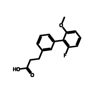 COc1cccc(F)c1-c1cccc(CCC(=O)O)c1